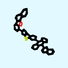 c1ccc2cc(-c3c4ccccc4c(-c4ccc5c(c4)sc4cc(-c6cccc7c6oc6c8ccccc8ccc76)ccc45)c4ccccc34)ccc2c1